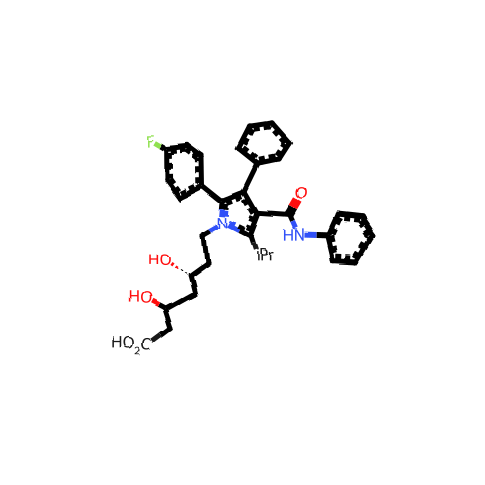 CC(C)c1c(C(=O)Nc2ccccc2)c(-c2ccccc2)c(-c2ccc(F)cc2)n1CC[C@@H](O)CC(O)CC(=O)O